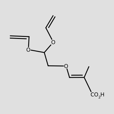 C=COC(COC=C(C)C(=O)O)OC=C